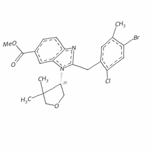 COC(=O)c1ccc2nc(Cc3cc(C)c(Br)cc3Cl)n([C@@H]3COCC3(C)C)c2c1